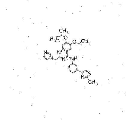 CCOc1cc2c(Nc3cccc(-c4csc(C)n4)c3)nc(Cn3ccnc3)nc2cc1OC(C)C